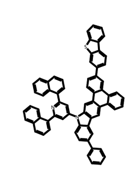 c1ccc(-c2ccc3c(c2)c2cc4c5ccccc5c5cc(-c6ccc7c(c6)sc6ccccc67)ccc5c4cc2n3-c2cc(-c3cccc4ccccc34)nc(-c3cccc4ccccc34)c2)cc1